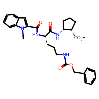 Cn1c(C(=O)N[C@@H](CCCNC(=O)OCc2ccccc2)C(=O)N[C@@H]2CCC[C@@H]2C(=O)O)cc2ccccc21